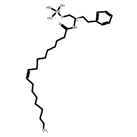 CCCCCCCC/C=C\CCCCCCCC(=O)N[C@H](CCc1ccccc1)CO[PH](O)(O)O